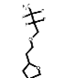 FC(F)(F)C(F)(F)C(F)(F)COCCC1CCCO1